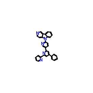 c1ccc(-c2cc(-c3ccc(-n4c5ccccc5c5cnccc54)nc3)nc(-c3ccccn3)c2)cc1